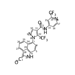 O=C=c1[nH]c2ccc(-n3ncc(C(=O)Nc4ccnc(C(F)(F)F)c4)c3C(F)(F)F)c3cccc1c23